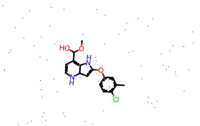 COC(O)C1=C2NC(Oc3ccc(Cl)c(C)c3)=CC2NC=C1